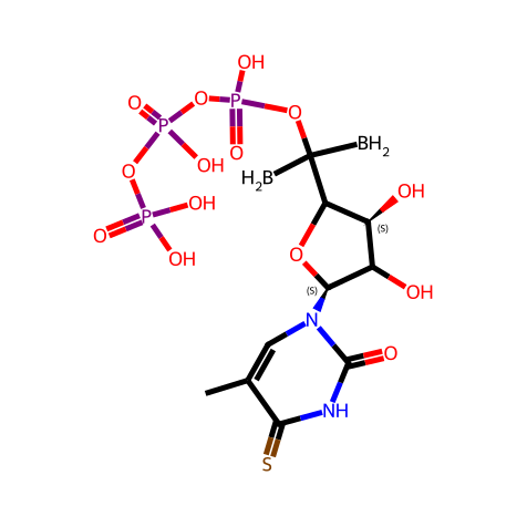 BC(B)(OP(=O)(O)OP(=O)(O)OP(=O)(O)O)C1O[C@H](n2cc(C)c(=S)[nH]c2=O)C(O)[C@@H]1O